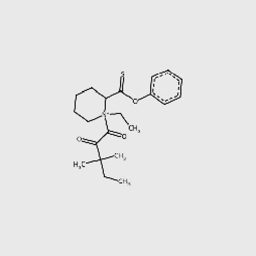 CCC(C)(C)C(=O)C(=O)[N+]1(CC)CCCCC1C(=S)Oc1ccccc1